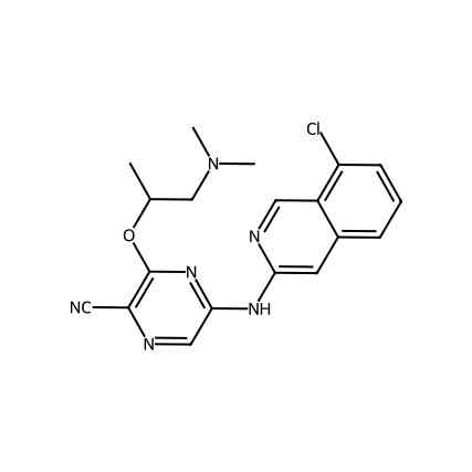 CC(CN(C)C)Oc1nc(Nc2cc3cccc(Cl)c3cn2)cnc1C#N